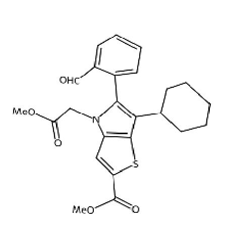 COC(=O)Cn1c(-c2ccccc2C=O)c(C2CCCCC2)c2sc(C(=O)OC)cc21